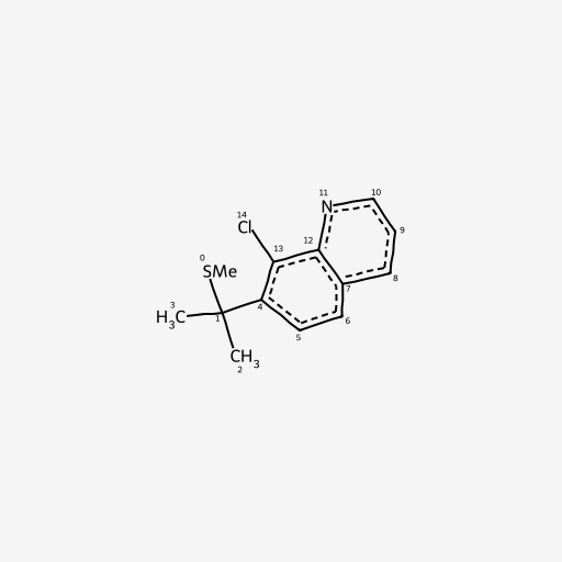 CSC(C)(C)c1ccc2cccnc2c1Cl